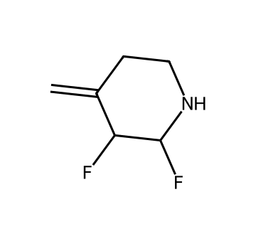 C=C1CCNC(F)C1F